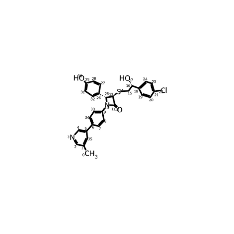 Cc1cncc(-c2ccc(N3C(=O)[C@H](SC[C@H](O)c4ccc(Cl)cc4)[C@H]3c3ccc(O)cc3)cc2)c1